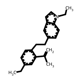 C=C(C)c1cc(CC)ccc1CCc1ccc2c(ccn2CC)c1